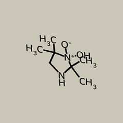 CC1(C)CNC(C)(C)[N+]1([O-])O